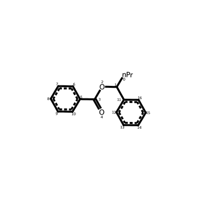 CCCC(OC(=O)c1ccccc1)c1ccccc1